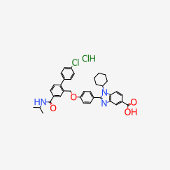 CC(C)NC(=O)c1ccc(-c2ccc(Cl)cc2)c(COc2ccc(-c3nc4cc(C(=O)O)ccc4n3C3CCCCC3)cc2)c1.Cl